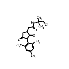 Cc1cc(C)c(C2C(=O)CC(CC(=O)NC(C)(C)CCl)C2=O)c(C)c1